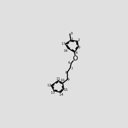 Cc1ccc(OCCCCc2ccccc2)cc1